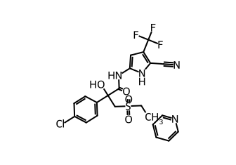 CCS(=O)(=O)CC(O)(C(=O)Nc1cc(C(F)(F)F)c(C#N)[nH]1)c1ccc(Cl)cc1.c1ccncc1